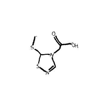 [CH2]SC1SN=CN1C(=O)O